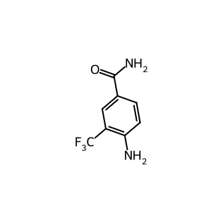 NC(=O)c1ccc(N)c(C(F)(F)F)c1